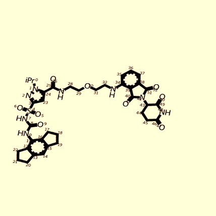 CC(C)n1nc(S(=O)(=O)NC(=O)Nc2c3c(cc4c2CCC4)CCC3)cc1C(=O)NCCOCCNc1cccc2c1C(=O)N(C1CCC(=O)NC1=O)C2=O